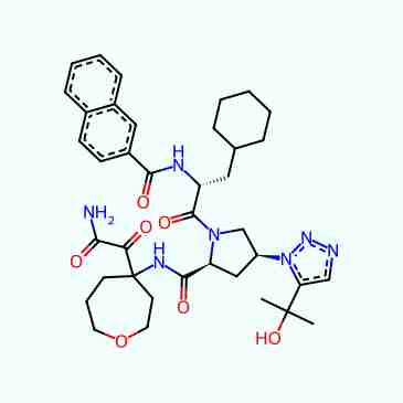 CC(C)(O)c1cnnn1[C@H]1C[C@@H](C(=O)NC2(C(=O)C(N)=O)CCCOCC2)N(C(=O)[C@@H](CC2CCCCC2)NC(=O)c2ccc3ccccc3c2)C1